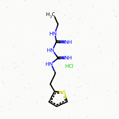 CCNC(=N)NC(=N)NCCc1cccs1.Cl